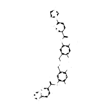 O=C(Nc1cc(CSCc2cc(NC(=O)c3ccc4nnnn4n3)c(C(=O)O)cc2F)c(F)cc1C(=O)O)c1ccc(-n2ccnc2)nn1